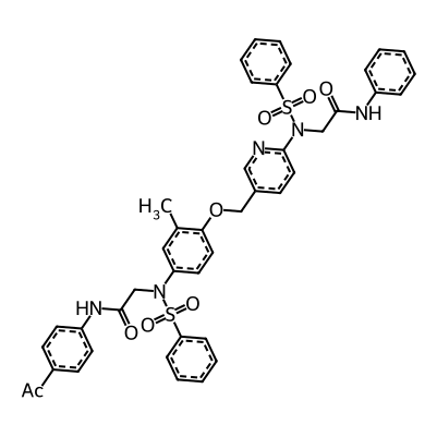 CC(=O)c1ccc(NC(=O)CN(c2ccc(OCc3ccc(N(CC(=O)Nc4ccccc4)S(=O)(=O)c4ccccc4)nc3)c(C)c2)S(=O)(=O)c2ccccc2)cc1